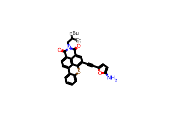 CCCCC(CC)Cn1c(=O)c2ccc3c4ccccc4sc4c(C#Cc5ccc(N)o5)cc(c1=O)c2c43